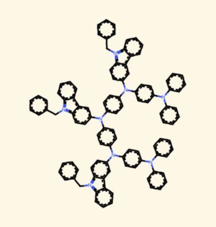 c1ccc(Cn2c3ccccc3c3cc(N(c4ccc(N(c5ccccc5)c5ccccc5)cc4)c4ccc(N(c5ccc(N(c6ccc(N(c7ccccc7)c7ccccc7)cc6)c6ccc7c(c6)c6ccccc6n7Cc6ccccc6)cc5)c5ccc6c(c5)c5ccccc5n6Cc5ccccc5)cc4)ccc32)cc1